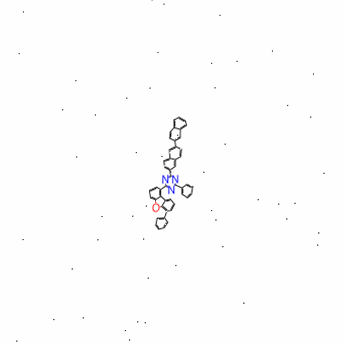 c1ccc(-c2nc(-c3ccc4cc(-c5ccc6ccccc6c5)ccc4c3)nc(-c3cccc4oc5c(-c6ccccc6)cccc5c34)n2)cc1